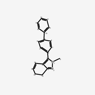 Cn1nc2c(c1-c1ccc(-c3ccccc3)cc1)C=CCC2